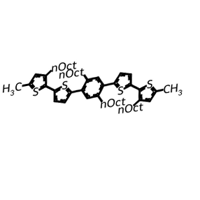 CCCCCCCCc1cc(-c2ccc(-c3sc(C)cc3CCCCCCCC)s2)c(CCCCCCCC)cc1-c1ccc(-c2sc(C)cc2CCCCCCCC)s1